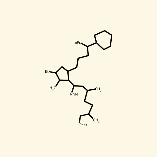 CCCC(C)CC(C)CCC(C)CC(NC)C1C(CCCC(CCC)C2CCCCC2)CC(CC)C1C